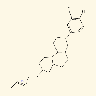 C/C=C/CCC1CCC2C(CCC3CC(c4ccc(Cl)c(F)c4)CCC32)C1